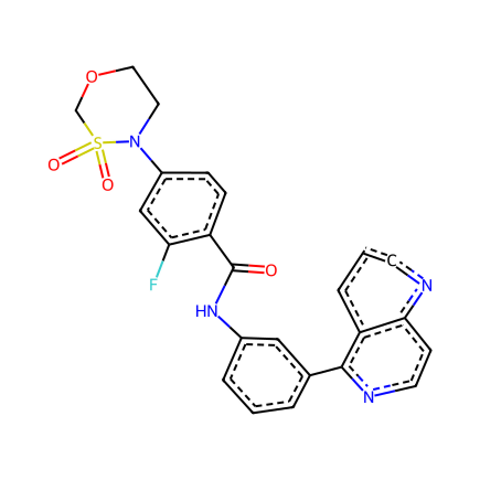 O=C(Nc1cccc(-c2nccc3ncccc23)c1)c1ccc(N2CCOCS2(=O)=O)cc1F